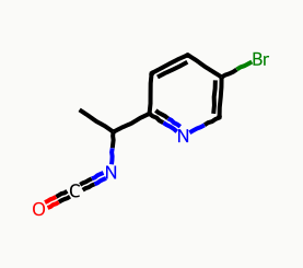 CC(N=C=O)c1ccc(Br)cn1